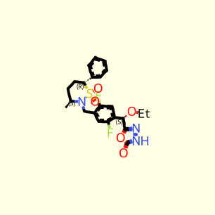 CCO[C@H](c1n[nH]c(=O)o1)c1cc(F)c(CN2[C@@H](C)CC[C@H](c3ccccc3)S2(=O)=O)cc1F